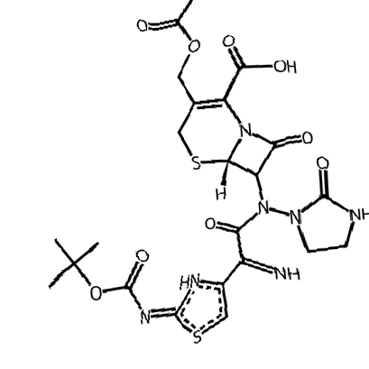 CC(=O)OCC1=C(C(=O)O)N2C(=O)C(N(C(=O)C(=N)c3csc(=NC(=O)OC(C)(C)C)[nH]3)N3CCNC3=O)[C@@H]2SC1